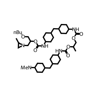 CCCCOCC(CN1CC1C)OC(=O)NC1CCC(CC2CCC(NC(=O)OCC(C)OC(=O)NC3CCC(CC4CCC(NC)CC4)CC3)CC2)CC1